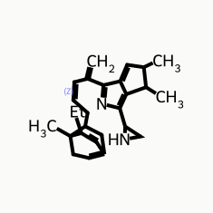 C=C(/C=C\CC1CC2=CCC1(C)C(CC)C=C2)C1=NC(C2CN2)=C2C1=CC(C)C2C